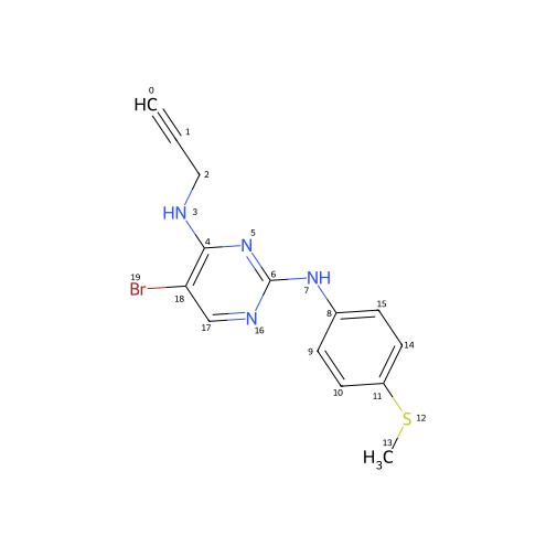 C#CCNc1nc(Nc2ccc(SC)cc2)ncc1Br